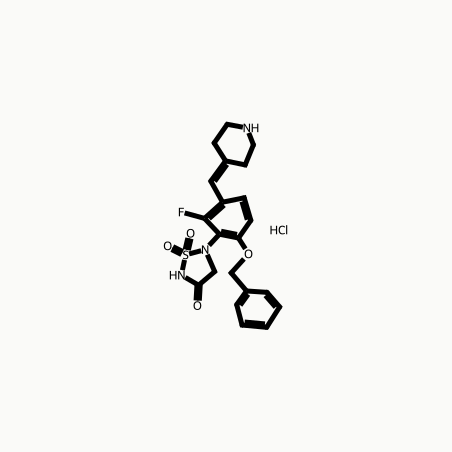 Cl.O=C1CN(c2c(OCc3ccccc3)ccc(C=C3CCNCC3)c2F)S(=O)(=O)N1